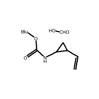 C=CC1CC1NC(=O)OC(C)(C)C.O=CO